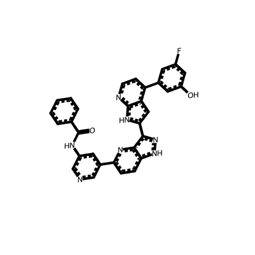 O=C(Nc1cncc(-c2ccc3[nH]nc(-c4cc5c(-c6cc(O)cc(F)c6)ccnc5[nH]4)c3n2)c1)c1ccccc1